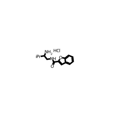 CC(C)C(N)CNC(=O)c1cc2ccccc2o1.Cl